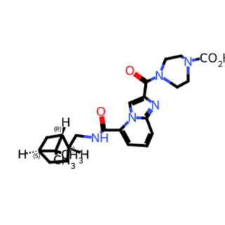 CC1(C)[C@H]2CC[C@@H](CNC(=O)c3cccc4nc(C(=O)N5CCN(C(=O)O)CC5)cn34)[C@H]1C2